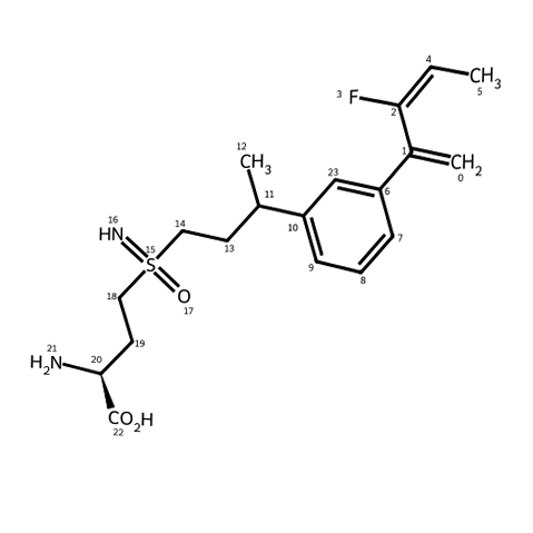 C=C(/C(F)=C\C)c1cccc(C(C)CCS(=N)(=O)CC[C@H](N)C(=O)O)c1